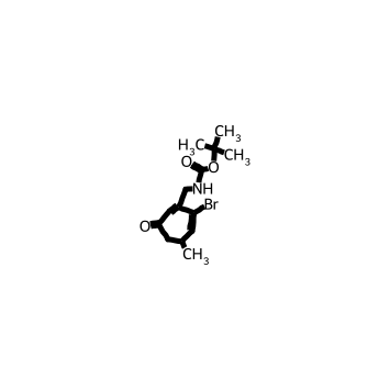 CC1C=C(Br)C(CNC(=O)OC(C)(C)C)=CC(=O)C1